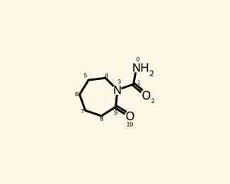 NC(=O)N1CCCCCC1=O